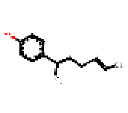 CC=CCCC(C)c1ccc(O)cc1